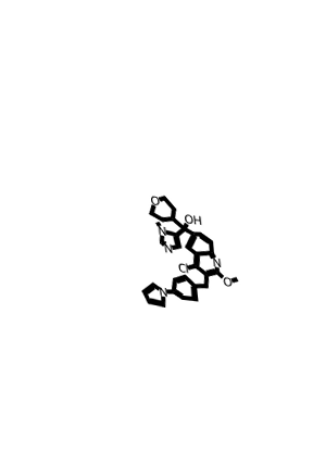 COc1nc2ccc(C(O)(c3cncn3C)C3CCOCC3)cc2c(Cl)c1Cc1ccc(-n2cccc2)cc1